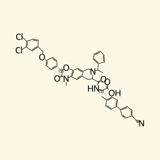 CC(c1ccccc1)N1Cc2cc3c(cc2CC1C(=O)N[C@@H](Cc1ccc(-c2ccc(C#N)cc2)cc1)C(=O)O)N(C)C(=O)[C@H](c1ccc(OCc2ccc(Cl)c(Cl)c2)cc1)O3